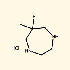 Cl.FC1(F)CNCCNC1